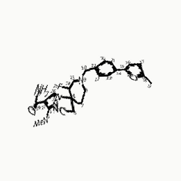 CNc1nn(C2(CC#N)CCN(Cc3ccc(-c4ccc(C)o4)cc3)CC2F)cc1C(N)=O